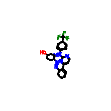 Oc1ccc(/N=N/c2ccccc2-c2ccnc(Nc3ccc(C(F)(F)F)cc3)n2)cc1